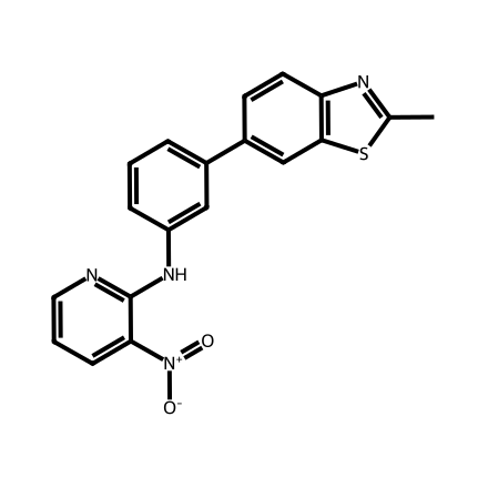 Cc1nc2ccc(-c3cccc(Nc4ncccc4[N+](=O)[O-])c3)cc2s1